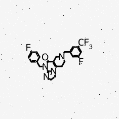 O=C1C2=C(CCN(Cc3cc(F)cc(C(F)(F)F)c3)C2)N2CCN=C2N1Cc1ccc(F)cc1